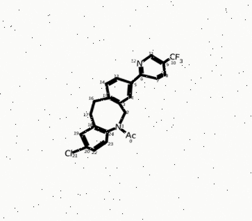 CC(=O)N1Cc2cc(-c3ccc(C(F)(F)F)cn3)ccc2CCc2cc(Cl)ccc21